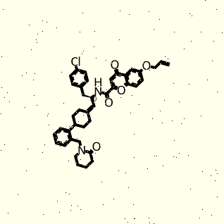 C=CCOc1ccc2oc(C(=O)N[C@@H](C=C3CCC(c4ccccc4CN4CCCCC4=O)CC3)Cc3ccc(Cl)cc3)cc(=O)c2c1